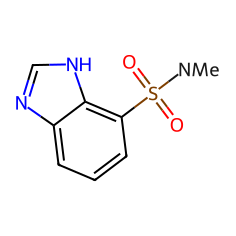 CNS(=O)(=O)c1cccc2nc[nH]c12